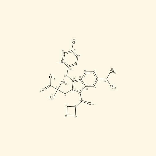 CC(=O)C(C)(C)Cc1c(C(=O)C2CCC2)c2cc(C(C)C)ccc2n1Cc1ccc(Cl)nn1